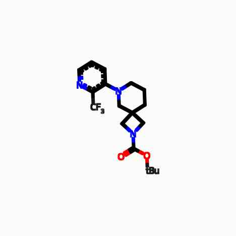 CC(C)(C)OC(=O)N1CC2(CCCN(c3cccnc3C(F)(F)F)C2)C1